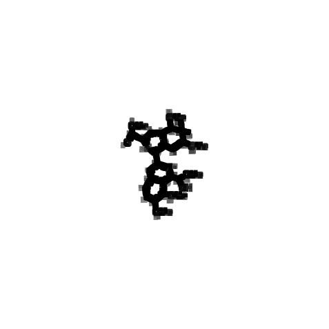 COC(=O)c1cc2c(c(-c3cc4ccc(OC)c(OC)c4c(C(O)OC)n3)n1)C=C(OC)C(C)(C)C2OC